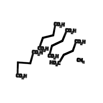 C.O=C(O)CCC(=O)O.O=C(O)CCC(=O)O.O=C(O)CCC(=O)O.O=C(O)CCC(=O)O